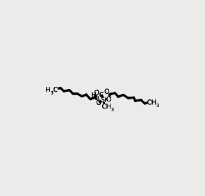 CCCCCCCCCC(=O)O[Si](C)(C)OC(=O)CCCCCCCCC